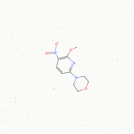 COc1nc(N2CCOCC2)ccc1[N+](=O)[O-]